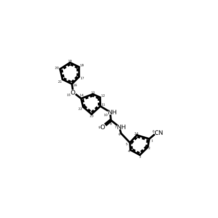 N#Cc1cccc(CNC(=O)Nc2ccc(Oc3ccccc3)cc2)c1